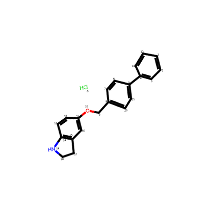 Cl.c1ccc(-c2ccc(COc3ccc4c(c3)CCN4)cc2)cc1